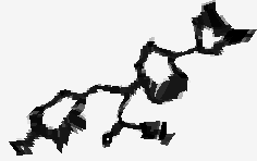 NC(=O)C(Cc1ccc(Cl)cc1)c1ccc(-c2cn[nH]c2)cc1